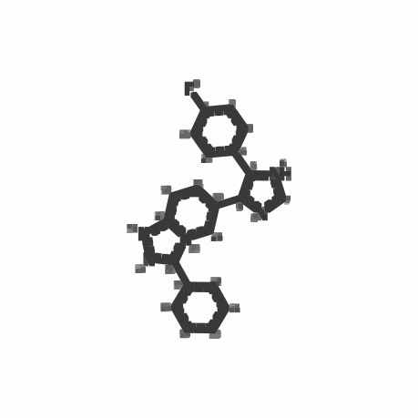 Fc1ccc(-c2[nH]cnc2-c2ccc3nnc(-c4ccccc4)n3c2)cc1